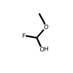 CO[C](O)F